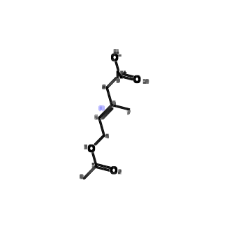 CC(=O)OC/C=C(\C)C[N+](=O)[O-]